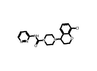 O=C(Nc1cccnn1)N1CCN(C2CCOc3c(Cl)cccc32)CC1